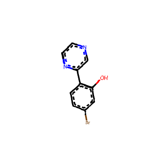 Oc1cc(Br)ccc1-c1cnccn1